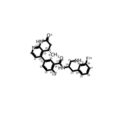 C[C@H]1CC(=O)Nc2nccc(-c3ccc(F)c(C(=O)NC(CN)Cc4cccc(F)c4)c3)c21